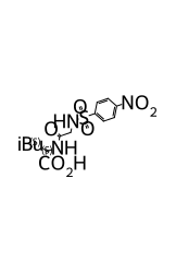 CC[C@H](C)[C@H](NC(=O)CNS(=O)(=O)c1ccc([N+](=O)[O-])cc1)C(=O)O